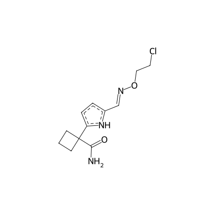 NC(=O)C1(c2ccc(/C=N/OCCCl)[nH]2)CCC1